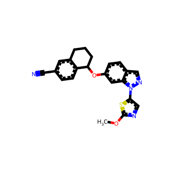 COc1ncc(-n2ncc3ccc(OC4CCCc5cc(C#N)ccc54)cc32)s1